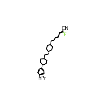 CCCc1ccc([C@H]2CC[C@H](CC[C@H]3CC[C@H](CCC=CC=C(F)C#N)CC3)CC2)cc1